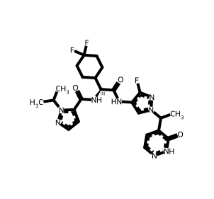 CC(c1ccn[nH]c1=O)n1cc(NC(=O)[C@@H](NC(=O)c2ccnn2C(C)C)C2CCC(F)(F)CC2)c(F)n1